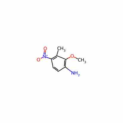 COc1c(N)ccc([N+](=O)[O-])c1C